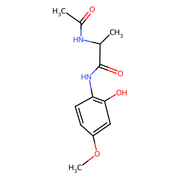 COc1ccc(NC(=O)C(C)NC(C)=O)c(O)c1